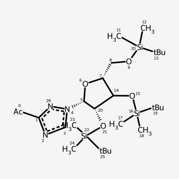 CC(=O)c1ncn([C@@H]2O[C@H](CO[Si](C)(C)C(C)(C)C)C(O[Si](C)(C)C(C)(C)C)[C@@H]2O[Si](C)(C)C(C)(C)C)n1